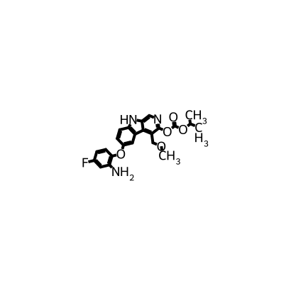 COCc1c(OC(=O)OC(C)C)ncc2[nH]c3ccc(Oc4ccc(F)cc4N)cc3c12